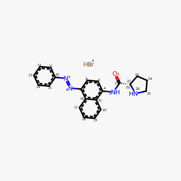 Br.O=C(Nc1ccc(N=Nc2ccccc2)c2ccccc12)[C@@H]1CCCN1